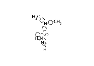 Cc1ccc(N(c2ccc(C)cc2)c2ccc(C(C(=O)[C@@H](N)Cc3c[nH]cn3)c3ccccc3)cc2)cc1